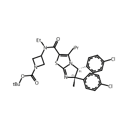 CCN(C(=O)C1=C(C(C)C)N2C(=N[C@@](C)(c3ccc(Cl)cc3)[C@H]2c2ccc(Cl)cc2)S1)C1CN(C(=O)OC(C)(C)C)C1